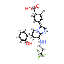 Cc1cc(-c2cnc3c(NCCC(F)(F)F)cc(-c4ccccc4O)cn23)ccc1C(=O)O